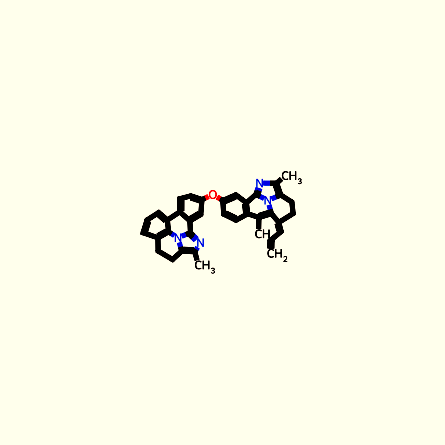 C=C/C=C1/CCc2c(C)nc3c4cc(Oc5ccc6c(c5)c5nc(C)c7n5c5c(cccc65)CC7)ccc4c(C)c1n23